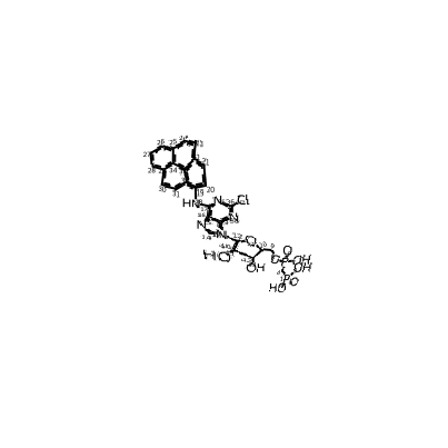 O=P(O)(O)CP(=O)(O)OCC1OC(n2cnc3c(Nc4ccc5ccc6cccc7ccc4c5c67)nc(Cl)nc32)C(O)C1O